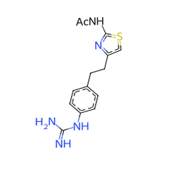 CC(=O)Nc1nc(CCc2ccc(NC(=N)N)cc2)cs1